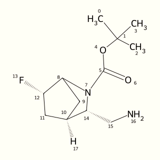 CC(C)(C)OC(=O)N1C2C[C@H](C[C@@H]2F)[C@H]1CN